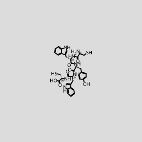 N[C@@H](CS)C(=O)N[C@@H](Cc1c[nH]c2ccccc12)C(=O)N[C@@H](Cc1ccc(O)cc1)C(=O)N[C@@H](Cc1c[nH]c2ccccc12)C(=O)N[C@@H](CS)C(=O)O